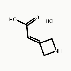 Cl.O=C(O)C=C1CNC1